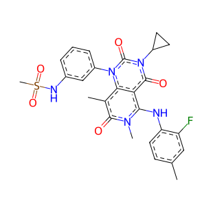 Cc1ccc(Nc2c3c(=O)n(C4CC4)c(=O)n(-c4cccc(NS(C)(=O)=O)c4)c3c(C)c(=O)n2C)c(F)c1